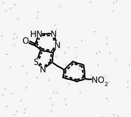 O=c1[nH]nnc2c(-c3ccc([N+](=O)[O-])cc3)nsc12